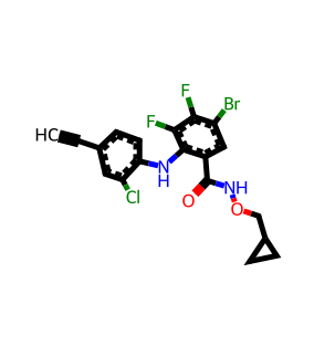 C#Cc1ccc(Nc2c(C(=O)NOCC3CC3)cc(Br)c(F)c2F)c(Cl)c1